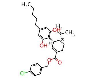 C=C(C)[C@@H]1CCC(C(=O)OCc2ccc(Cl)cc2)=C[C@H]1c1c(O)cc(CCCCC)cc1O